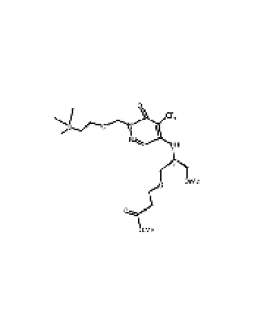 COC[C@@H](COCCC(=O)OC)Nc1cnn(COCC[Si](C)(C)C)c(=O)c1C(F)(F)F